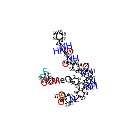 COc1ccc(-c2c(-c3ccc(CN4CCC(S(C)(=O)=O)CC4)cc3)[nH]c3ncc4c(c23)CN(c2ccc(C(=O)NCC(=O)NNCc3ccccc3)cc2)C(=O)N4C)cc1.O=C(O)C(F)(F)F